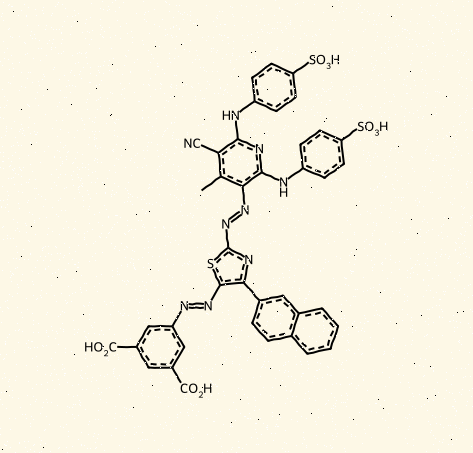 Cc1c(C#N)c(Nc2ccc(S(=O)(=O)O)cc2)nc(Nc2ccc(S(=O)(=O)O)cc2)c1N=Nc1nc(-c2ccc3ccccc3c2)c(N=Nc2cc(C(=O)O)cc(C(=O)O)c2)s1